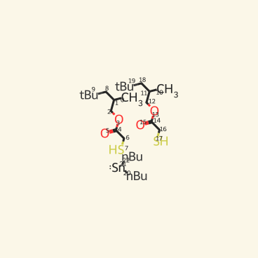 CC(COC(=O)CS)CC(C)(C)C.CC(COC(=O)CS)CC(C)(C)C.CCC[CH2][Sn][CH2]CCC